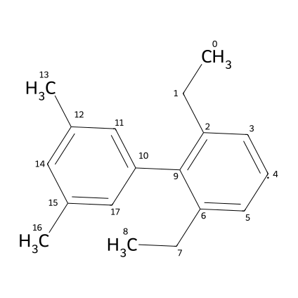 CCc1c[c]cc(CC)c1-c1cc(C)cc(C)c1